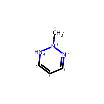 [CH2]N1N=CC=CN1